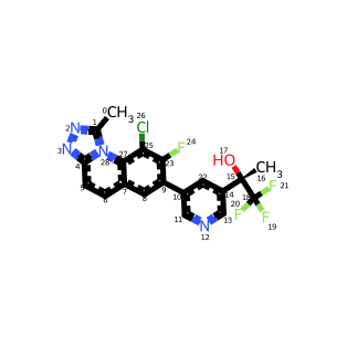 Cc1nnc2ccc3cc(-c4cncc([C@](C)(O)C(F)(F)F)c4)c(F)c(Cl)c3n12